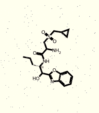 CCC[C@H](NC(=O)C(N)CS(=O)(=O)CC1CC1)C(O)c1nc2ccccc2o1